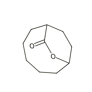 O=C1OC2CCCCCC1CC2